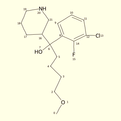 COCCCCC(O)(c1cccc(Cl)c1F)C1CCCNC1